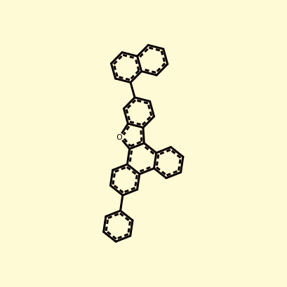 c1ccc(-c2ccc3c(c2)c2ccccc2c2c4ccc(-c5cccc6ccccc56)cc4oc32)cc1